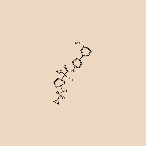 COc1cncc(-c2ccc(NC(=O)C(C)(C)c3ccnc(NS(=O)(=O)C4CC4)n3)cc2)c1